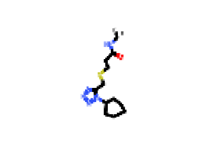 CCNC(=O)CCSCc1nnnn1C1CCCCC1